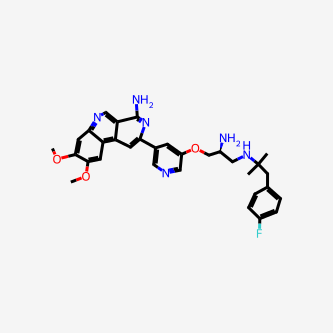 COc1cc2ncc3c(N)nc(-c4cncc(OC[C@@H](N)CNC(C)(C)Cc5ccc(F)cc5)c4)cc3c2cc1OC